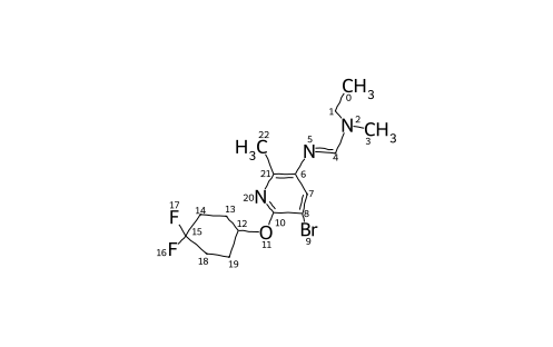 CCN(C)/C=N/c1cc(Br)c(OC2CCC(F)(F)CC2)nc1C